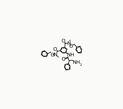 CN(OCc1ccccc1)C(=O)c1cc(NC(=O)C(CN)c2ccccc2)cc(C(=O)N(C)OCc2ccccc2)c1